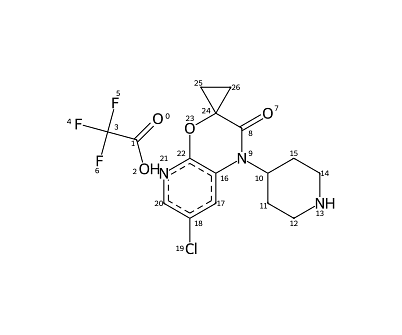 O=C(O)C(F)(F)F.O=C1N(C2CCNCC2)c2cc(Cl)cnc2OC12CC2